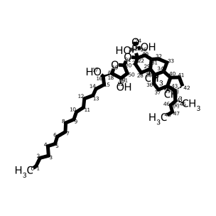 CCCCCCCCCCCCCCCCC(O)[C@H]1OC(OC2(P(=O)(O)O)CC[C@@]3(C)C(CCC4C3CC[C@@]3(C)C4CC[C@@H]3[C@H](C)CCC)C2)C[C@@H]1O